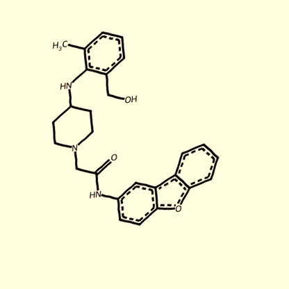 Cc1cccc(CO)c1NC1CCN(CC(=O)Nc2ccc3oc4ccccc4c3c2)CC1